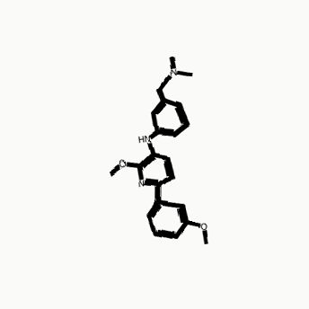 COc1cccc(-c2ccc(Nc3cccc(CN(C)C)c3)c(OC)n2)c1